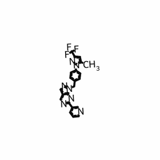 Cc1cc(C(F)(F)F)nn1-c1ccc(Cn2ncc3cnc(-c4cccnc4)nc32)cc1